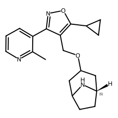 Cc1ncccc1-c1noc(C2CC2)c1COC1CC2CC[C@@H](C1)N2